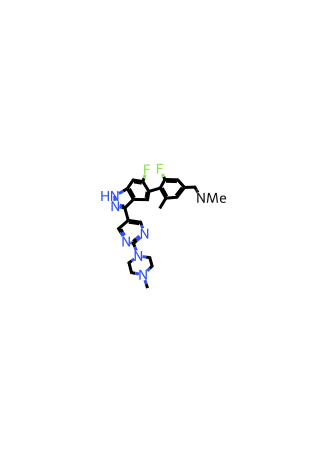 CNCc1cc(C)c(-c2cc3c(-c4cnc(N5CCN(C)CC5)nc4)n[nH]c3cc2F)c(F)c1